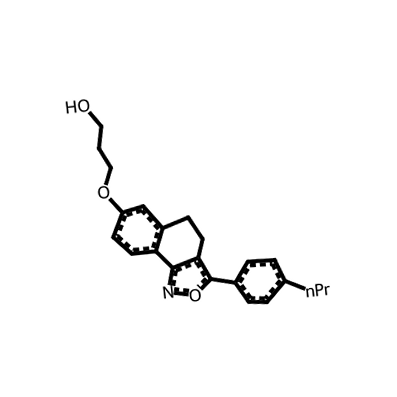 CCCc1ccc(-c2onc3c2CCc2cc(OCCCO)ccc2-3)cc1